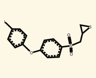 O=S(=O)(CC1CS1)c1ccc(Oc2ccc(I)cc2)cc1